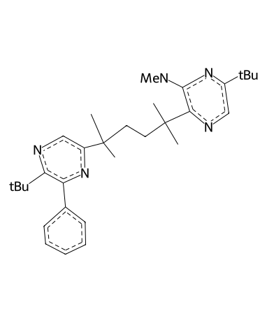 CNc1nc(C(C)(C)C)cnc1C(C)(C)CCC(C)(C)c1cnc(C(C)(C)C)c(-c2ccccc2)n1